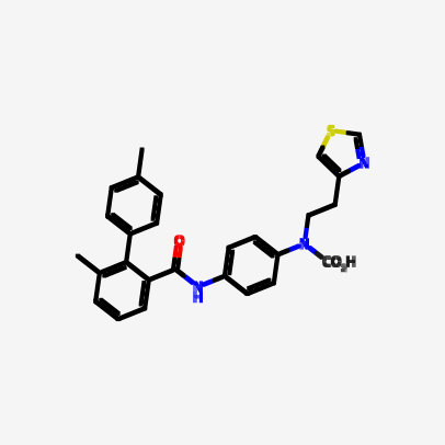 Cc1ccc(-c2c(C)cccc2C(=O)Nc2ccc(N(CCc3cscn3)C(=O)O)cc2)cc1